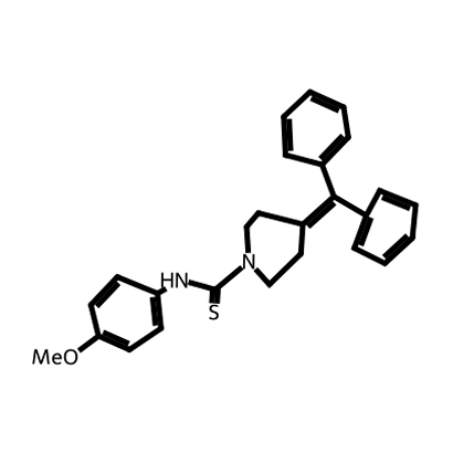 COc1ccc(NC(=S)N2CCC(=C(c3ccccc3)c3ccccc3)CC2)cc1